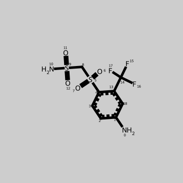 Nc1ccc(S(=O)(=O)CS(N)(=O)=O)c(C(F)(F)F)c1